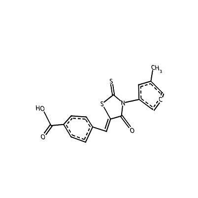 Cc1cccc(N2C(=O)C(=Cc3ccc(C(=O)O)cc3)SC2=S)c1